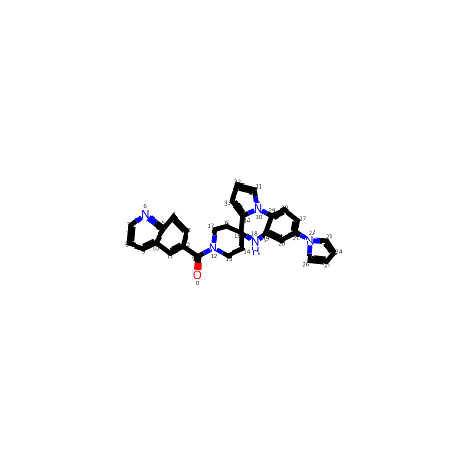 O=C(c1ccc2ncccc2c1)N1CCC2(CC1)Nc1cc(-n3cccc3)ccc1-n1cccc12